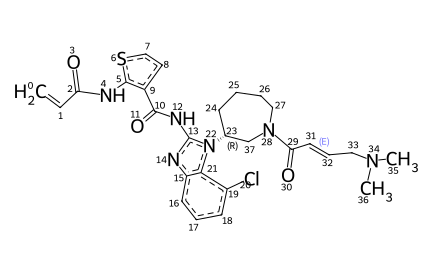 C=CC(=O)Nc1sccc1C(=O)Nc1nc2cccc(Cl)c2n1[C@@H]1CCCCN(C(=O)/C=C/CN(C)C)C1